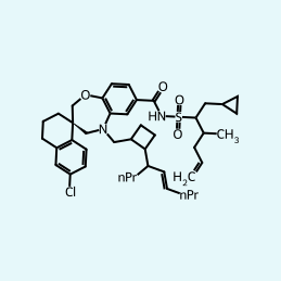 C=CCC(C)C(CC1CC1)S(=O)(=O)NC(=O)c1ccc2c(c1)N(CC1CCC1C(/C=C/CCC)CCC)C[C@@]1(CCCc3cc(Cl)ccc31)CO2